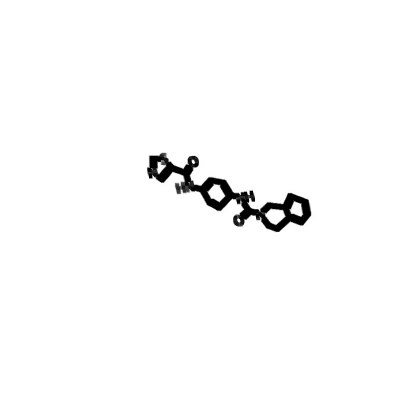 O=C(Nc1ccc(NC(=O)N2CCc3ccccc3C2)cc1)c1cncs1